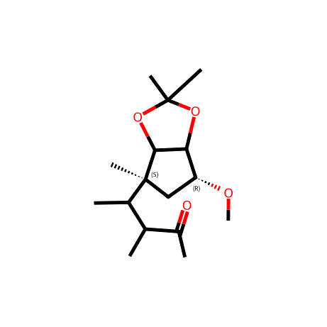 CO[C@@H]1C[C@@](C)(C(C)C(C)C(C)=O)C2OC(C)(C)OC21